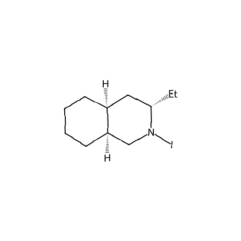 CC[C@H]1C[C@@H]2CCCC[C@@H]2CN1I